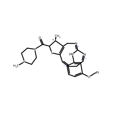 CC(C)Oc1cccc(NC2=N\CC3=C(/C=C\C/C=N\2)SC(C(=O)N2CCN(C)CC2)[C@H]3C)c1